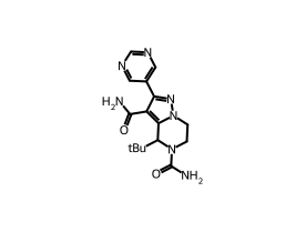 CC(C)(C)C1c2c(C(N)=O)c(-c3cncnc3)nn2CCN1C(N)=O